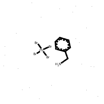 NCc1ccccc1.[Br][Pb]([Br])([Br])[Br]